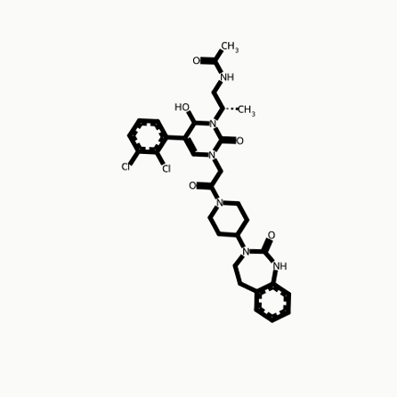 CC(=O)NC[C@H](C)N1C(=O)N(CC(=O)N2CCC(N3CCc4ccccc4NC3=O)CC2)C=C(c2cccc(Cl)c2Cl)C1O